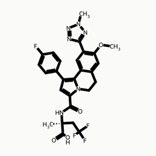 COc1cc2c(cc1-c1nnn(C)n1)-c1c(-c3ccc(F)cc3)cc(C(=O)N[C@@](C)(CC(F)(F)F)C(=O)O)n1CC2